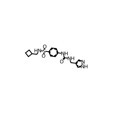 O=C(NCc1cn[nH]c1)Nc1ccc(S(=O)(=O)NCC2CCC2)cc1